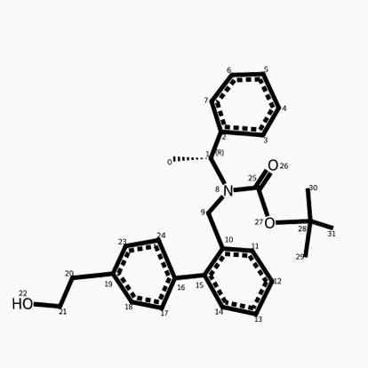 C[C@H](c1ccccc1)N(Cc1ccccc1-c1ccc(CCO)cc1)C(=O)OC(C)(C)C